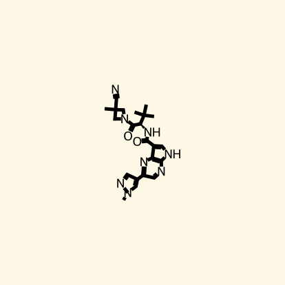 Cn1cc(-c2cnc3[nH]cc(C(=O)N[C@@H](C(=O)N4CC(C)(C#N)C4)C(C)(C)C)c3n2)cn1